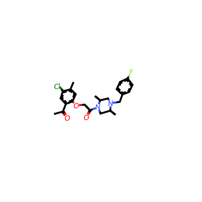 CC(=O)c1cc(Cl)c(C)cc1OCC(=O)N1CC(C)N(Cc2ccc(F)cc2)CC1C